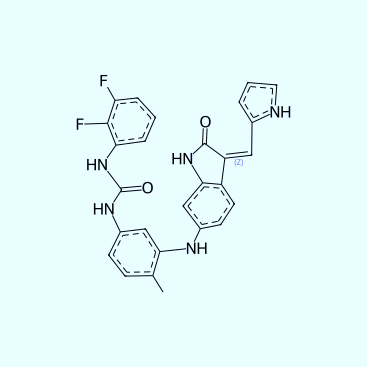 Cc1ccc(NC(=O)Nc2cccc(F)c2F)cc1Nc1ccc2c(c1)NC(=O)/C2=C\c1ccc[nH]1